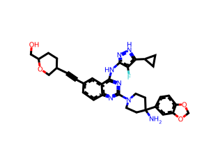 NC1(c2ccc3c(c2)OCO3)CCN(c2nc(Nc3n[nH]c(C4CC4)c3F)c3cc(C#CC4CCC(CO)OC4)ccc3n2)CC1